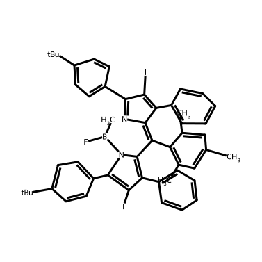 CB(F)n1c(/C(=C2\N=C(c3ccc(C(C)(C)C)cc3)C(I)=C2c2ccccc2)c2c(C)cc(C)cc2C)c(-c2ccccc2)c(I)c1-c1ccc(C(C)(C)C)cc1